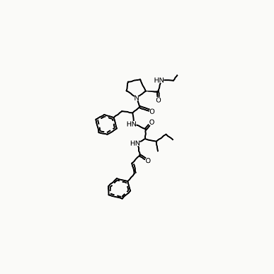 CCNC(=O)[C@@H]1CCCN1C(=O)C(Cc1ccccc1)NC(=O)C(NC(=O)/C=C/c1ccccc1)C(C)CC